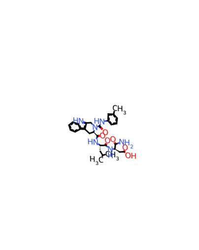 Cc1cccc(NC(=O)N2Cc3[nH]c4ccccc4c3C[C@@H]2C(=O)N[C@@H](CC(C)C)C(=O)N[C@H](CC(=O)O)C(N)=O)c1